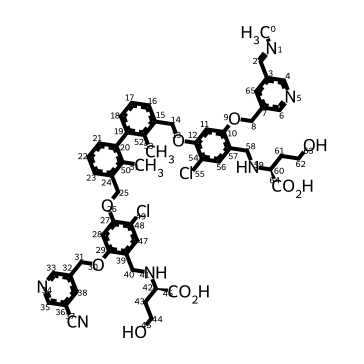 C/N=C/c1cncc(COc2cc(OCc3cccc(-c4cccc(COc5cc(OCc6cncc(C#N)c6)c(CN[C@H](CCO)C(=O)O)cc5Cl)c4C)c3C)c(Cl)cc2CN[C@@H](CCO)C(=O)O)c1